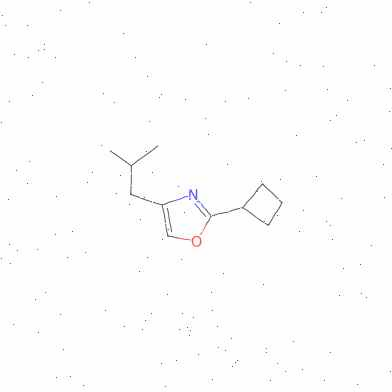 CC(C)Cc1coc(C2CCC2)n1